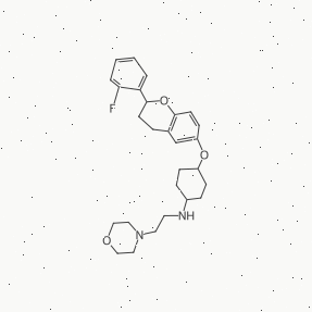 Fc1ccccc1C1CCc2cc(OC3CCC(NCCN4CCOCC4)CC3)ccc2O1